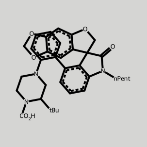 CCCCCN1C(=O)C2(COc3cc4c(cc32)OCO4)c2c(-c3ccccc3N3CCN(C(=O)O)C(C(C)(C)C)C3)cccc21